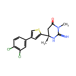 CN1C(=N)N[C@](C)(c2cc(-c3ccc(Cl)c(Cl)c3)cs2)CC1=O